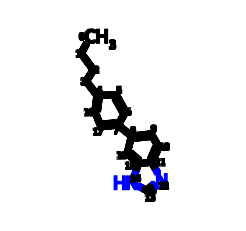 CCCCc1ccc(-c2ccc3n[c][nH]c3c2)cc1